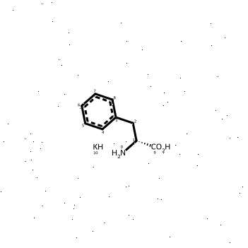 N[C@H](Cc1ccccc1)C(=O)O.[KH]